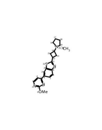 COc1nccc(-c2ccc3nc(C4CC(N5CCC[C@@H]5C)C4)sc3c2)n1